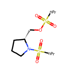 CCCS(=O)(=O)OC[C@H]1CCCN1S(=O)(=O)CCC